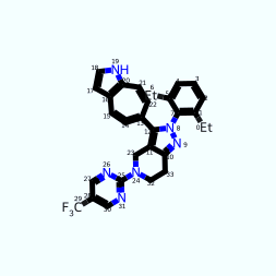 CCc1cccc(CC)c1-n1nc2c(c1C1=C=Cc3cc[nH]c3C=C1)CN(c1ncc(C(F)(F)F)cn1)CC2